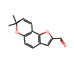 CC1(C)C=Cc2c(ccc3cc(C=O)oc23)O1